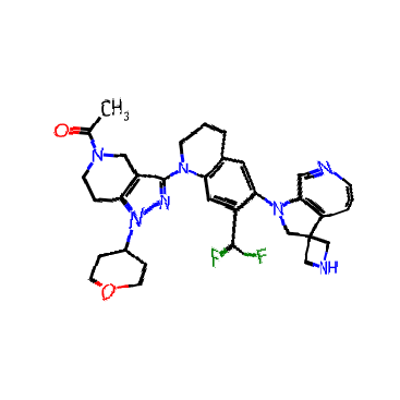 CC(=O)N1CCc2c(c(N3CCCc4cc(N5CC6(CNC6)c6ccncc65)c(C(F)F)cc43)nn2C2CCOCC2)C1